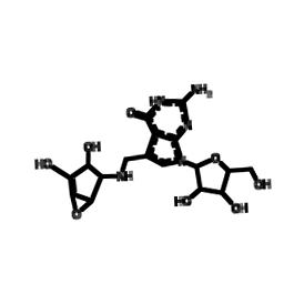 Nc1nc2c(c(CNC3C(O)C(O)=C4OC43)cn2C2OC(CO)C(O)C2O)c(=O)[nH]1